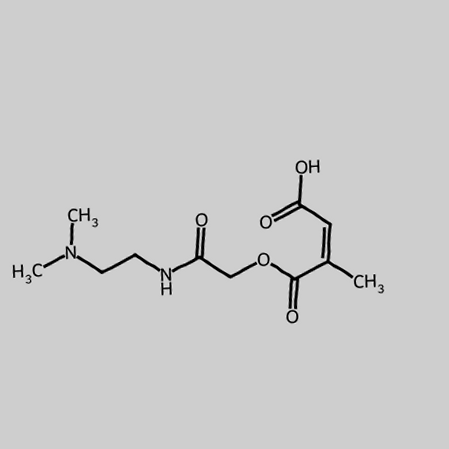 CC(=CC(=O)O)C(=O)OCC(=O)NCCN(C)C